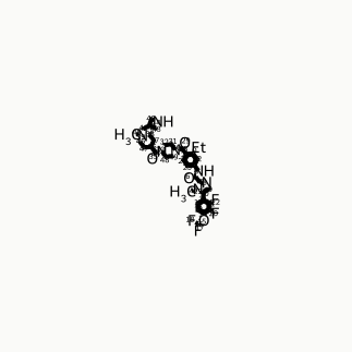 CCc1cc(NC(=O)c2ncc(-c3ccc(OC(F)F)c(F)c3F)n2C)ccc1C(=O)N1CCN(C(=O)C2CC[N+](C)(CC3CNC3)CC2)CC1